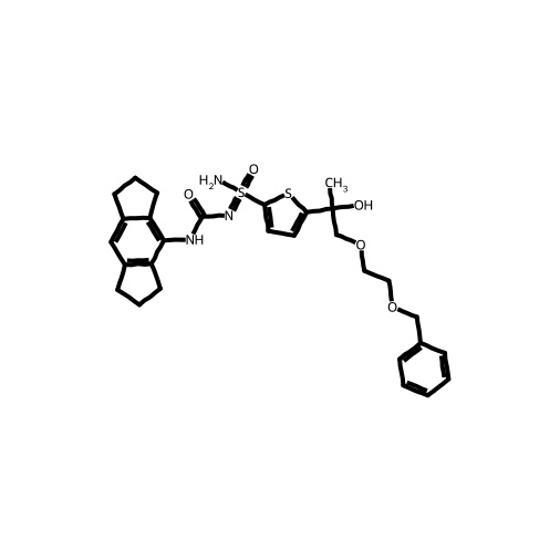 CC(O)(COCCOCc1ccccc1)c1ccc(S(N)(=O)=NC(=O)Nc2c3c(cc4c2CCC4)CCC3)s1